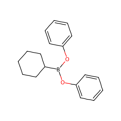 c1ccc(OB(Oc2ccccc2)C2CCCCC2)cc1